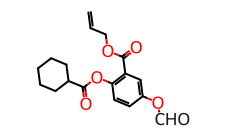 C=CCOC(=O)c1cc(OC=O)ccc1OC(=O)C1CCCCC1